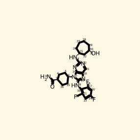 NC(=O)[C@H]1CC[C@@H](n2c(Nc3c(F)cc(F)cc3F)nc3cnc(N[C@@H]4CCCC[C@H](O)C4)nc32)CC1